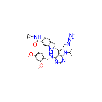 COc1ccc(CNc2ncnc3c2c(-c2cc4ccc(C(=O)NC5CC5)cc4[nH]2)c(CN=[N+]=[N-])n3C(C)C)c(OC)c1